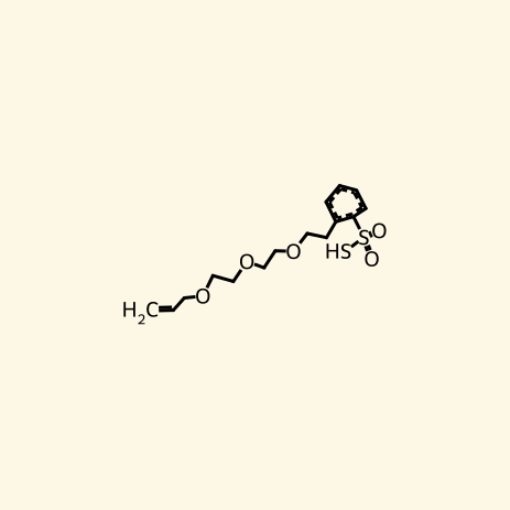 C=CCOCCOCCOCCc1ccccc1S(=O)(=O)S